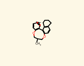 CC1COc2ccc3c(c2-c2c(ccc4c2CCCC4)OC1)CCCC3